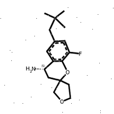 CC(C)(C)Cc1cc(F)c2c(c1)[C@@H](N)CC1(CCOC1)O2